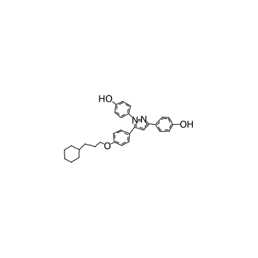 Oc1ccc(-c2cc(-c3ccc(OCCCC4CCCCC4)cc3)n(-c3ccc(O)cc3)n2)cc1